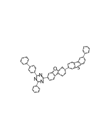 c1ccc(-c2ccc(-c3nc(-c4ccccc4)nc(-c4ccc5c(c4)oc4cc(-c6ccc7c(c6)sc6ccc(-c8ccccc8)cc67)ccc45)n3)cc2)cc1